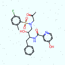 CC(=O)CN(CC(O)C(Cc1ccccc1)NC(=O)c1cc(O)ccn1)S(=O)(=O)c1cc(F)ccc1C